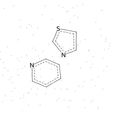 c1ccncc1.c1cscn1